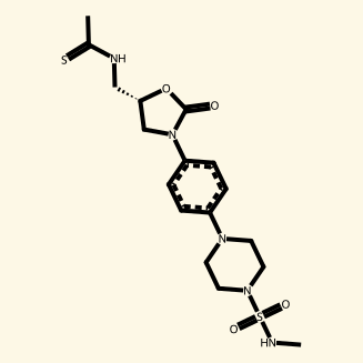 CNS(=O)(=O)N1CCN(c2ccc(N3C[C@H](CNC(C)=S)OC3=O)cc2)CC1